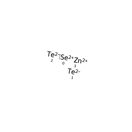 [Se+2].[Te-2].[Te-2].[Zn+2]